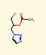 CC(=O)OC(CCl)Cn1ccnn1